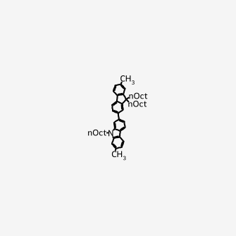 CCCCCCCCn1c2cc(C)ccc2c2ccc(-c3ccc4c(c3)C(CCCCCCCC)(CCCCCCCC)c3cc(C)ccc3-4)cc21